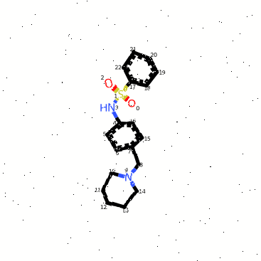 O=S(=O)(Nc1ccc(CN2CCCCC2)cc1)c1ccccc1